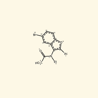 CCN(C(=O)C(=O)O)c1c(C(C)=O)oc2ccc(Br)cc12